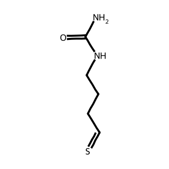 NC(=O)NCCCC=S